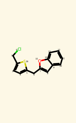 ClCc1ccc(Cc2cc3ccccc3o2)s1